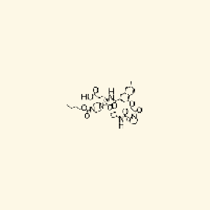 CCCCOC(=O)N1CCN(C(=O)[C@H](CCC(=O)O)NC(=O)c2cc(OCC(=O)N3CCC[C@H]3C(=O)NC3CCC3)c3ccc(C)cc3c2)CC1